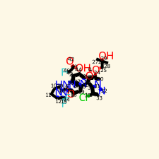 COc1ccc(NC(=O)N2C3CC2C(F)(F)N(c2ccc(-c4cc(OCC(C)(C)O)cn5ncc(Cl)c45)cn2)C3)cn1.O=C(O)CF